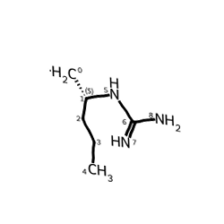 [CH2][C@@H](CCC)NC(=N)N